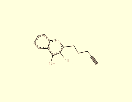 C#CCCCc1nc2ccccc2c(N)c1N